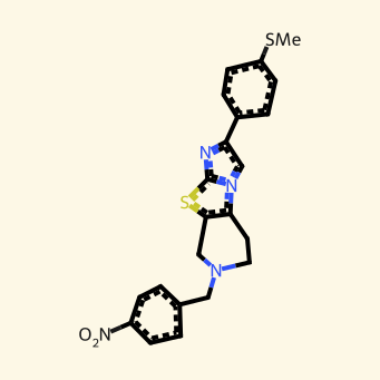 CSc1ccc(-c2cn3c4c(sc3n2)CN(Cc2ccc([N+](=O)[O-])cc2)CC4)cc1